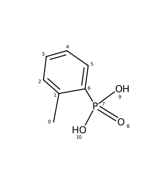 Cc1ccccc1P(=O)(O)O